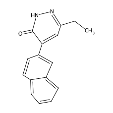 CCc1cc(-c2ccc3ccccc3c2)c(=O)[nH]n1